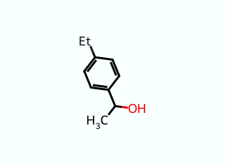 [CH2]Cc1ccc(C(C)O)cc1